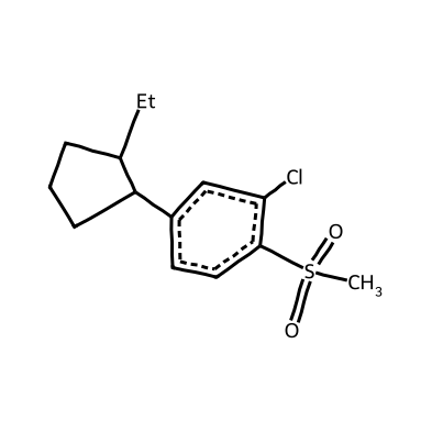 [CH2]CC1CCCC1c1ccc(S(C)(=O)=O)c(Cl)c1